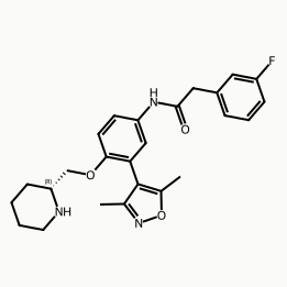 Cc1noc(C)c1-c1cc(NC(=O)Cc2cccc(F)c2)ccc1OC[C@H]1CCCCN1